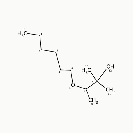 CCCCCCOC(C)C(C)(C)O